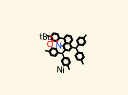 CC(=Nc1c(C(c2ccc(C)cc2)c2ccc(C)cc2)cc(C(c2ccc(C)cc2)c2ccc(C)cc2)c2cccc(-c3ccc(C)cc3)c12)C(=O)C(C)(C)C.[Ni]